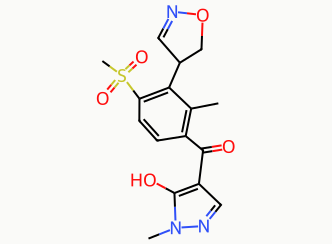 Cc1c(C(=O)c2cnn(C)c2O)ccc(S(C)(=O)=O)c1C1C=NOC1